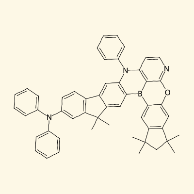 CC1(C)CC(C)(C)c2cc3c(cc21)Oc1nccc2c1B3c1cc3c(cc1N2c1ccccc1)-c1ccc(N(c2ccccc2)c2ccccc2)cc1C3(C)C